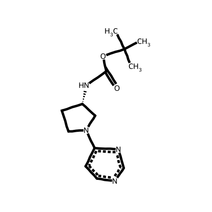 CC(C)(C)OC(=O)N[C@H]1CCN(c2ccncn2)C1